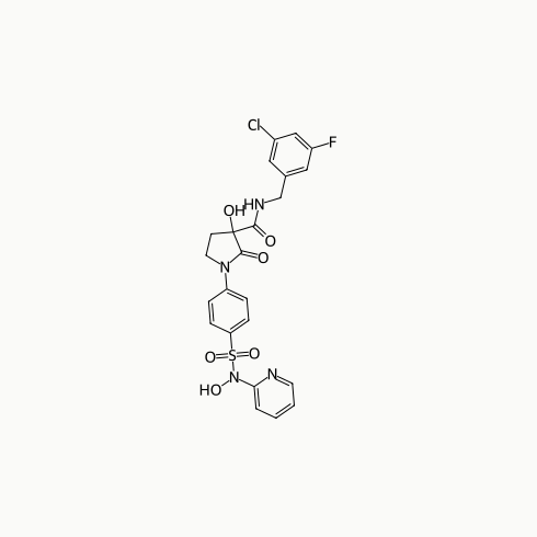 O=C(NCc1cc(F)cc(Cl)c1)C1(O)CCN(c2ccc(S(=O)(=O)N(O)c3ccccn3)cc2)C1=O